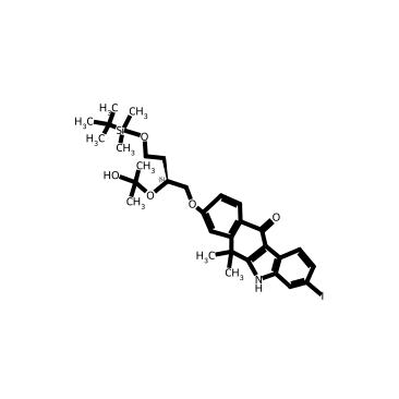 CC(C)(O)O[C@@H](CCO[Si](C)(C)C(C)(C)C)COc1ccc2c(c1)C(C)(C)c1[nH]c3cc(I)ccc3c1C2=O